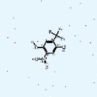 COc1cc(C(F)(F)F)c(Cl)cc1[N+](=O)[O-]